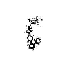 CC(C)(C)OC(=O)N1CC2(C[C@H](N3CCC(c4ccccc4-c4cnccn4)CC3)CO2)C1